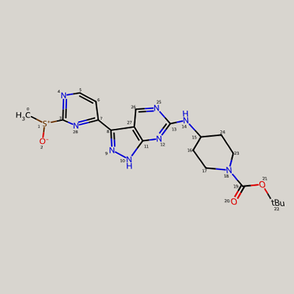 C[S+]([O-])c1nccc(-c2n[nH]c3nc(NC4CCN(C(=O)OC(C)(C)C)CC4)ncc23)n1